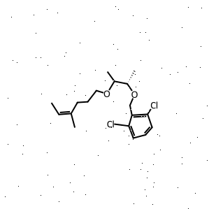 C/C=C(/C)CCCOC(C)[C@H](C)OCc1c(Cl)cccc1Cl